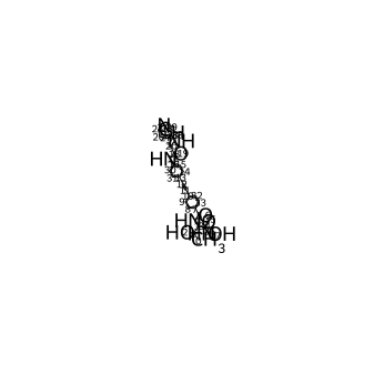 C[C@@H](O)[C@H](NC(=O)c1ccc(C#Cc2ccc(NC(=O)CN[C@@H]3CN4CCC3CC4)cc2)cc1)C(=O)NO